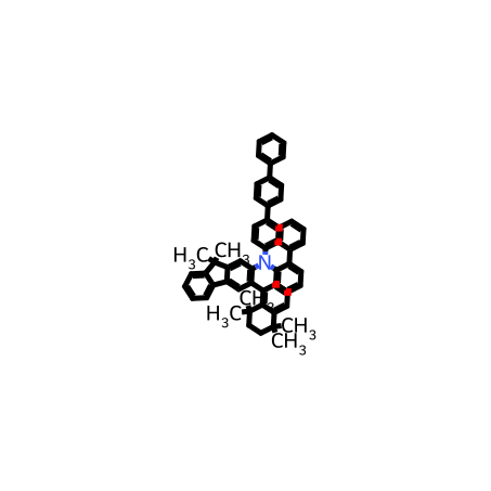 CC1(C)CCC(C)(C)c2c(-c3cc4c(cc3N(c3ccc(-c5ccc(-c6ccccc6)cc5)cc3)c3ccccc3-c3ccccc3)C(C)(C)c3ccccc3-4)cccc21